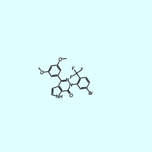 COc1cc(OC)cc(-c2nn(-c3cc(Br)ccc3C(F)(F)F)c(=O)c3[nH]ccc23)c1